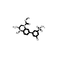 CC(=O)N1c2ccc(-c3cc(Cl)cc(S(C)(=O)=O)c3)cc2N(C(=O)OC(C)C)C[C@@H]1C